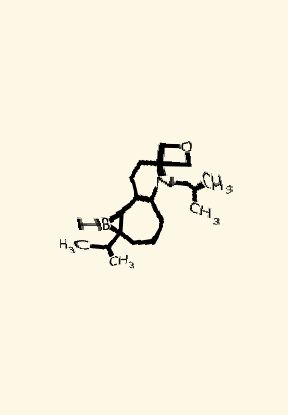 CC(C)N1C2CCCC3(C(C)C)BC3C2CCC12COC2